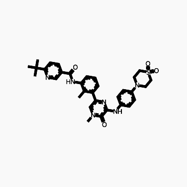 Cc1c(NC(=O)c2ccc(C(C)(C)C)nc2)cccc1-c1cn(C)c(=O)c(Nc2ccc(N3CCS(=O)(=O)CC3)cc2)n1